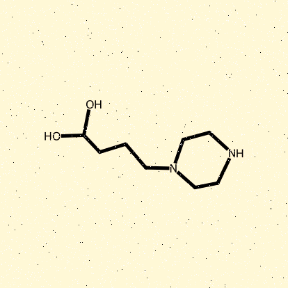 OC(O)CCCN1CCNCC1